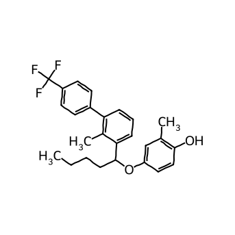 CCCCC(Oc1ccc(O)c(C)c1)c1cccc(-c2ccc(C(F)(F)F)cc2)c1C